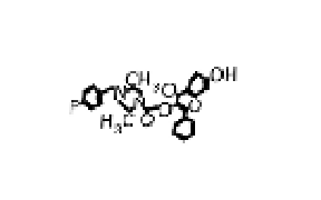 CC1CN(C(=O)COc2c(-c3ccccc3)oc3cc(O)ccc3c2=O)C(C)CN1Cc1ccc(F)cc1